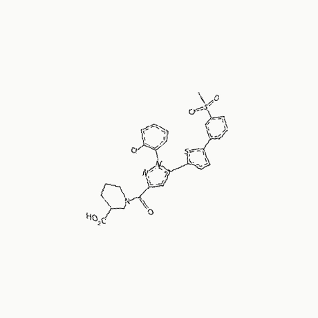 CS(=O)(=O)c1cccc(-c2ccc(-c3cc(C(=O)N4CCCC(C(=O)O)C4)nn3-c3ccccc3Cl)s2)c1